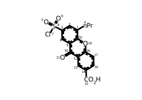 CCCc1cc(S(=O)(=O)Cl)cc2c(=O)c3cc(C(=O)O)ccc3oc12